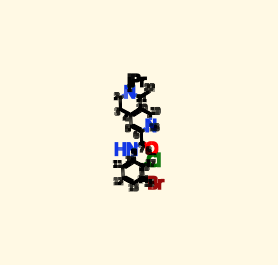 CC(C)N1CCc2cc(C(=O)Nc3cccc(Br)c3Cl)ncc2C1C